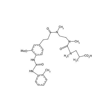 COc1cc(CCC(=O)N(C)CCN(C)C(=O)N(C)CC(C)C(=O)O)ccc1NC(=O)Nc1ccccc1C